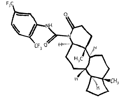 C[C@@]12CCC[C@H]1[C@@H]1CC[C@H]3N(C(=O)Nc4cc(C(F)(F)F)ccc4C(F)(F)F)C(=O)CC[C@]3(C)[C@H]1CC2